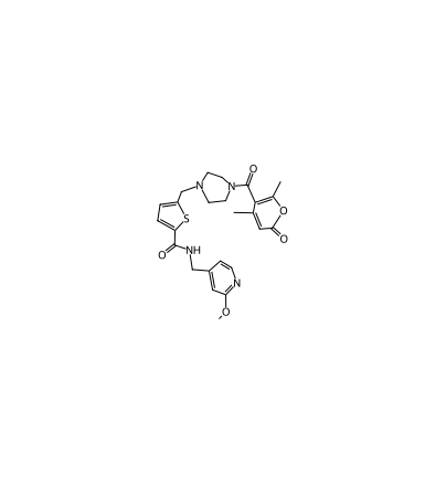 COc1cc(CNC(=O)c2ccc(CN3CCN(C(=O)c4c(C)cc(=O)oc4C)CC3)s2)ccn1